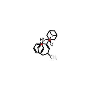 CC1C=C(N2CC3CC(C2)N3C(=O)Nc2ccccc2)N=CCC1